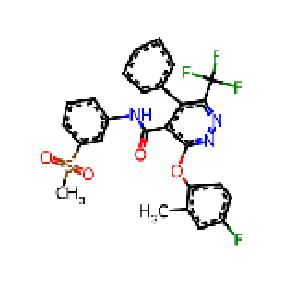 Cc1cc(F)ccc1Oc1nnc(C(F)(F)F)c(-c2ccccc2)c1C(=O)Nc1cccc(S(C)(=O)=O)c1